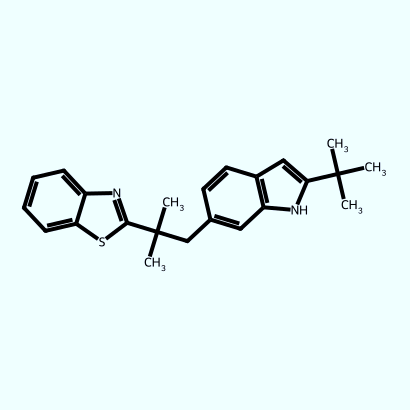 CC(C)(C)c1cc2ccc(CC(C)(C)c3nc4ccccc4s3)cc2[nH]1